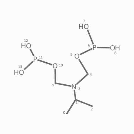 CC(C)N(COP(O)O)COP(O)O